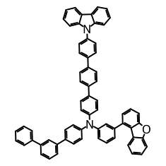 c1ccc(-c2cccc(-c3ccc(N(c4ccc(-c5ccc(-c6ccc(-n7c8ccccc8c8ccccc87)cc6)cc5)cc4)c4cccc(-c5cccc6oc7ccccc7c56)c4)cc3)c2)cc1